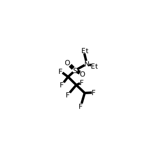 CCN(CC)S(=O)(=O)C(F)(F)C(F)(F)C(F)F